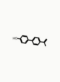 C=C(C)c1ccc(-c2ccc(O)cc2)cc1